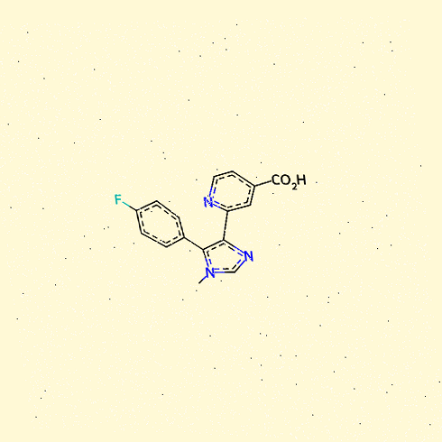 Cn1cnc(-c2cc(C(=O)O)ccn2)c1-c1ccc(F)cc1